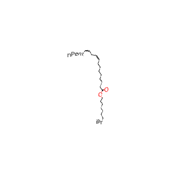 CCCCC/C=C\C/C=C\CCCCCCCC(=O)OCCCCCCCC(C)C